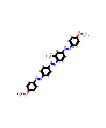 COc1ccc(/N=N/c2ccc(/N=N/c3ccc(/N=N/c4ccc(OC)cc4)cc3C)cc2)cc1